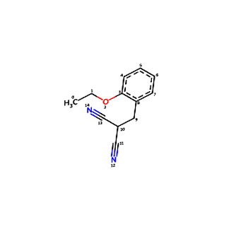 CCOc1ccccc1CC(C#N)C#N